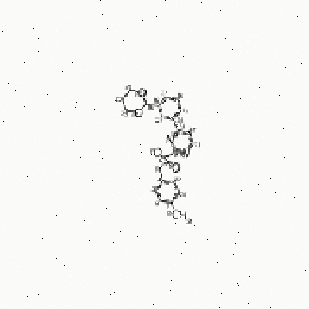 Cc1ccc(CS(=O)(=O)c2nccc(-c3cccc(C4OCCCO4)c3)n2)cc1